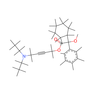 COC(C(=O)OC(C)(C)C#CC(C)(C)N(C(C)(C)C(C)(C)C)C(C)(C)C(C)(C)C)(c1c(C)c(C)c(C)c(C)c1C)C1(C)C(C)(C)C(C)(C)C(C)(C)C(C)(C)C1(C)C